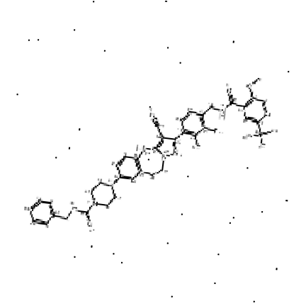 COc1ccc(C(F)(F)F)cc1C(=O)NCc1ccc(-c2nn3c(c2C#N)Nc2ccc(N4CCN(C(=O)OCc5ccccc5)CC4)cc2CC3)c(F)c1F